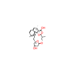 CCC(C)C(=O)O[C@@H]1[C@H]2C(=C[C@H](C)[C@H]1[C@@H](C)O)C=C[C@H](C)[C@@H]2CC[C@@H]1C[C@@H](O)CC(=O)O1